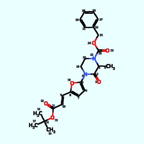 CC1C(=O)N(c2ccc(/C=C/C(=O)OC(C)(C)C)o2)CCN1C(=O)OCc1ccccc1